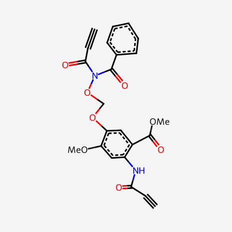 C#CC(=O)Nc1cc(OC)c(OCON(C(=O)C#C)C(=O)c2ccccc2)cc1C(=O)OC